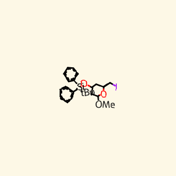 COC1CC(O[Si](c2ccccc2)(c2ccccc2)C(C)(C)C)CC(CI)O1